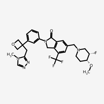 CO[C@@H]1CCN(Cc2cc3c(c(C(F)(F)F)c2)CN(c2cccc(C4(Cc5nncn5C)COC4)c2)C3=O)C[C@@H]1F